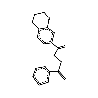 C=C(CCC(=C)c1ccc2c(c1)SCCC2)c1ccncc1